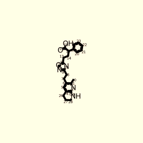 Cc1nc2c(cc1CCc1noc(CCC(C(=O)O)c3ccccc3)n1)CCCN2